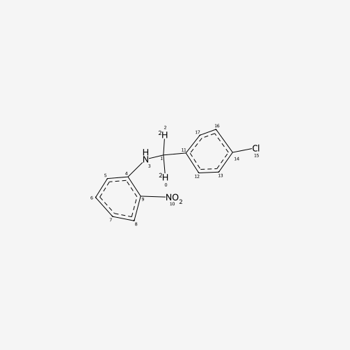 [2H]C([2H])(Nc1ccccc1[N+](=O)[O-])c1ccc(Cl)cc1